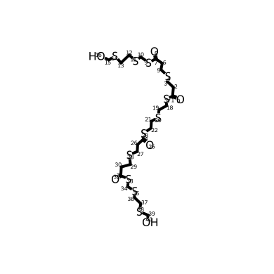 O=C(CCSCCC(=O)SCSCCSCO)SCCSCCSC(=O)CCSCCC(=O)SCSCCSCO